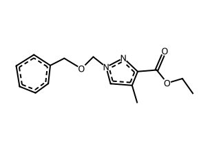 CCOC(=O)c1nn(COCc2ccccc2)cc1C